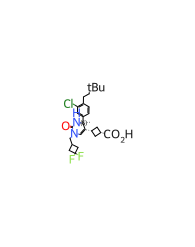 CC(C)(C)CCc1ccc([C@]2(C)NC(=O)N(CC3CC(F)(F)C3)C=C2[C@H]2C[C@@H](C(=O)O)C2)cc1Cl